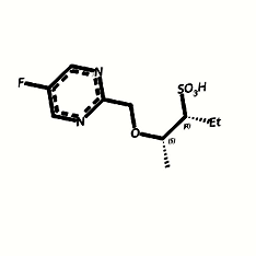 CC[C@H]([C@H](C)OCc1ncc(F)cn1)S(=O)(=O)O